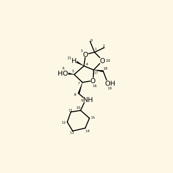 CC1(C)O[C@H]2[C@H](O)[C@H](CNC3CCCCC3)O[C@@]2(CO)O1